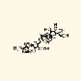 COC1C(COP(O)(=S)OP(=O)(O)OC2OC([C@H](O)CO)C(O)C(O)C2O)OC(n2cnc3c(N)ncnc32)C1OC